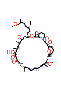 CC[C@@H](CCC(C)COC)CC[C@@H]1CC(=O)[C@H](C)/C=C(\C)[C@@H](O)[C@@H](OC)C(=O)[C@@H](C)C[C@H](C)/C=C/C=C/C=C(\C)[C@@H](OC)C[C@@H]2CC[C@@H](C)C(C)(O2)C(=O)C(=O)N2CCCC[C@H]2C(=O)O1